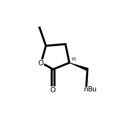 CCCCC[C@@H]1CC(C)OC1=O